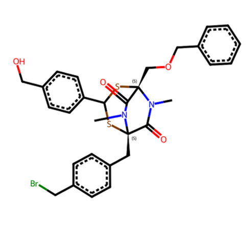 CN1C(=O)[C@]2(Cc3ccc(CBr)cc3)SC(c3ccc(CO)cc3)S[C@@]1(COCc1ccccc1)C(=O)N2C